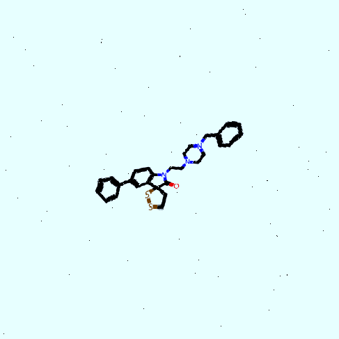 O=C1N(CCN2CCN(Cc3ccccc3)CC2)c2ccc(-c3ccccc3)cc2C12CCSS2